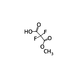 COC(=O)C(F)(F)C(=O)O